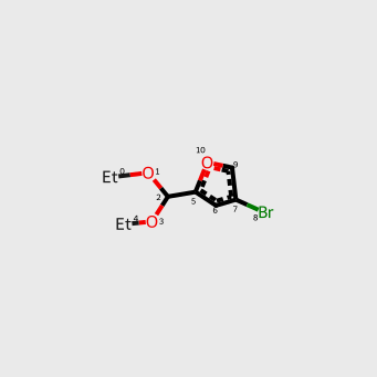 CCOC(OCC)c1cc(Br)co1